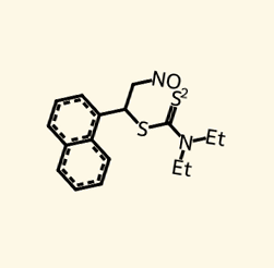 CCN(CC)C(=S)SC(C[N+](=O)[O-])c1cccc2ccccc12